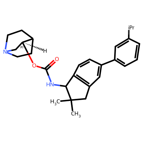 CC(C)c1cccc(-c2ccc3c(c2)CC(C)(C)C3NC(=O)O[C@H]2CN3CCC2CC3)c1